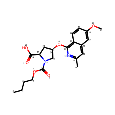 CCCCOC(=O)N1C[C@H](Oc2nc(C)cc3cc(OC)ccc23)CC1C(=O)O